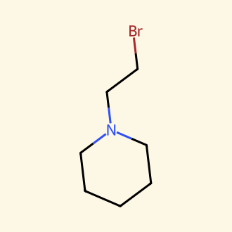 BrCCN1CCCCC1